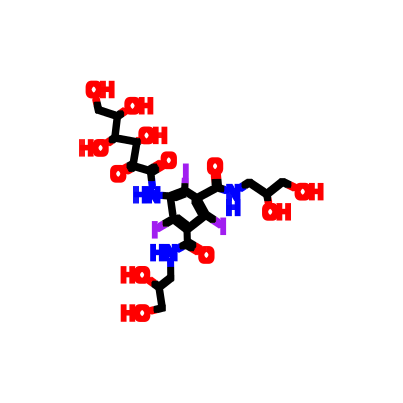 O=C(Nc1c(I)c(C(=O)NCC(O)CO)c(I)c(C(=O)NCC(O)CO)c1I)C(=O)C(O)C(O)C(O)CO